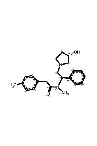 Cc1ccc(CC(=O)N(C)C(CN2CC[C@H](O)C2)c2ccccc2)cc1